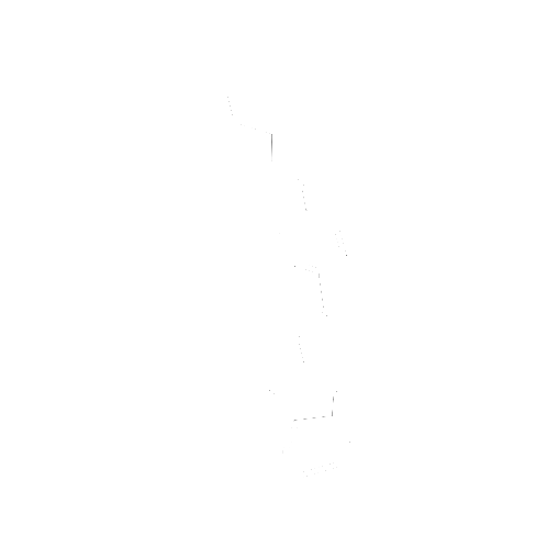 Cc1cc(N(C)CCOS(=O)O)ccc1N=Nc1nc2ccccc2[nH]1